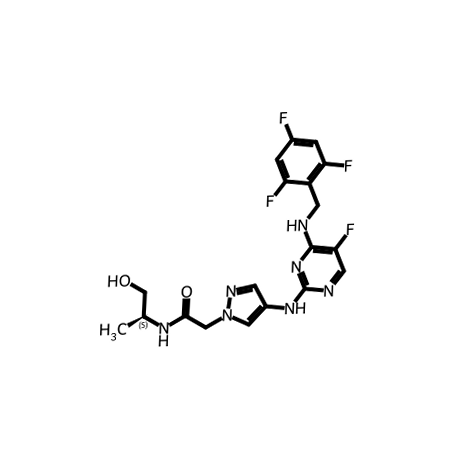 C[C@@H](CO)NC(=O)Cn1cc(Nc2ncc(F)c(NCc3c(F)cc(F)cc3F)n2)cn1